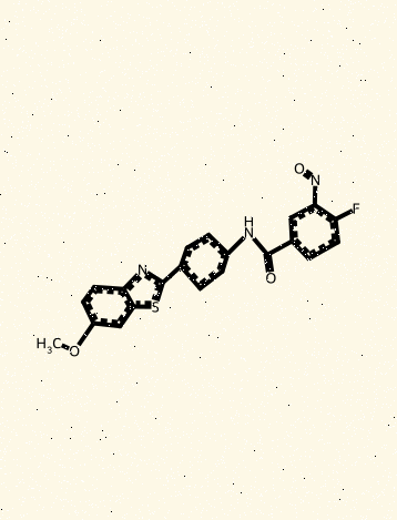 COc1ccc2nc(-c3ccc(NC(=O)c4ccc(F)c(N=O)c4)cc3)sc2c1